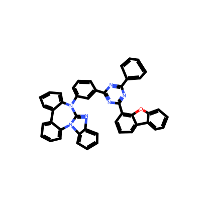 c1ccc(-c2nc(-c3cccc(N4c5ccccc5-c5ccccc5-n5c4nc4ccccc45)c3)nc(-c3cccc4c3oc3ccccc34)n2)cc1